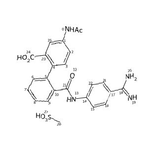 CC(=O)Nc1ccc(-c2ccccc2C(=O)Nc2ccc(C(=N)N)cc2)c(C(=O)O)c1.CS(=O)(=O)O